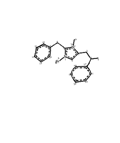 CC(Cc1cn(C(C)C)c(Cc2ccccc2)[n+]1C)c1ccccc1